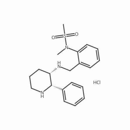 CN(c1ccccc1CN[C@H]1CCCN[C@H]1c1ccccc1)S(C)(=O)=O.Cl